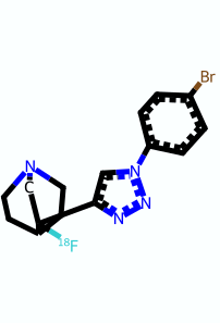 [18F]C1(c2cn(-c3ccc(Br)cc3)nn2)CN2CCC1CC2